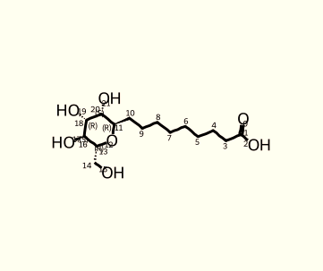 O=C(O)CCCCCCCC[C@H]1O[C@H](CO)[C@@H](O)[C@H](O)[C@@H]1O